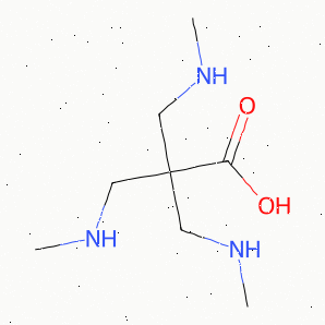 CNCC(CNC)(CNC)C(=O)O